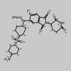 CCCCCN(c1cc2c(cc1F)C(=O)N(C1CCC(=O)NC1=O)C2=O)N1CCC(S(=O)(=O)N2CCC(N)CC2)CC1